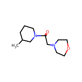 CC1CCCN(C(=O)CN2CCOCC2)C1